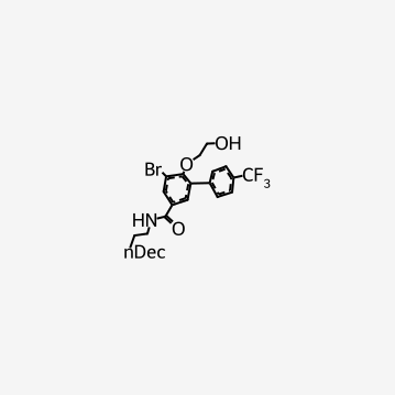 CCCCCCCCCCCCNC(=O)c1cc(Br)c(OCCO)c(-c2ccc(C(F)(F)F)cc2)c1